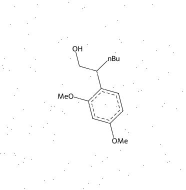 CCCCC(CO)c1ccc(OC)cc1OC